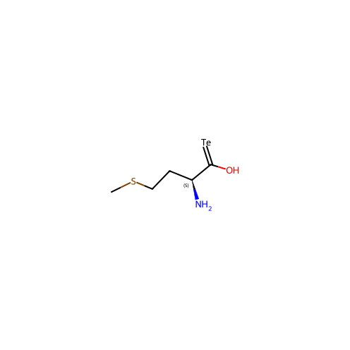 CSCC[C@H](N)C(O)=[Te]